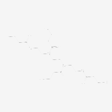 O=C(CCCl)NCCN(CCN(CCNC(=O)CCCl)C(=O)CCCl)C(=O)CCCl